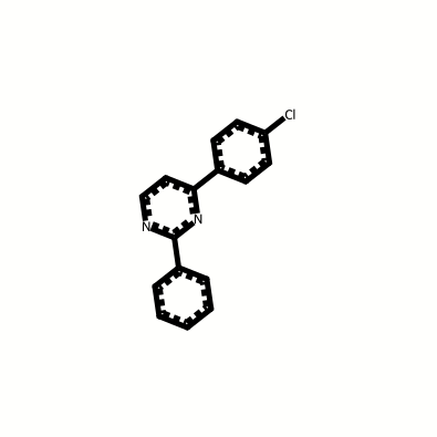 Clc1ccc(-c2ccnc(-c3ccccc3)n2)cc1